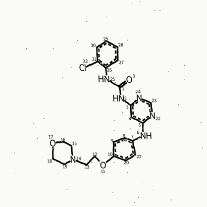 O=C(Nc1cc(Nc2ccc(OCCN3CCOCC3)cc2)ncn1)Nc1ccccc1Cl